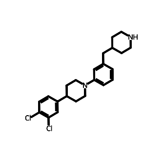 Clc1ccc(C2CCN(c3cccc(CC4CCNCC4)c3)CC2)cc1Cl